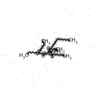 CC/C=C\CCCCOC(CCC(=O)OCC(COC(=O)CCCCCCC/C=C\CCCCCCCC)CN(CCCCN(C)C)C(=O)CCCCCCCC)OCCCC/C=C\CC